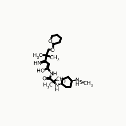 CSN[C@H]1CC[C@@H](NC(C)(C)C(=O)N/C(O)=C/C(=N)C(C)(C)COC2CCCCO2)CC1